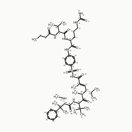 CCCC(=O)NC(C(=O)N[C@@H](CCCNC(N)=O)C(=O)Nc1ccc(S(=O)(=O)NC(=O)/C(C)=C/[C@H](C(C)C)N(C)C(=O)C(NC(=O)[C@@H](NC)C(C)(C)c2ccccc2)C(C)(C)C)cc1)C(C)C